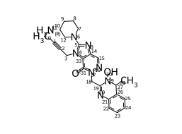 CC#CCn1c(N2CCC[C@@H](N)C2)nc2cnn(CC3=Nc4ccccc4C(C)N3O)c(=O)c21